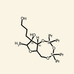 BC1OC2CO[Si](C(C)C)(C(C)C)O[Si](C(C)C)(C(C)C)O[C@H]2[C@@]1(O)CCCO